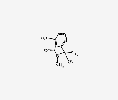 Cc1cccc2c1C(=O)N(C)C2(C)C#N